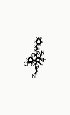 CC1=C(C(=O)OCCC#N)C(c2cccc(Cl)c2)C(C(=O)OCC=Cc2ccccc2)=C(C#N)N1